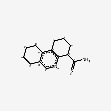 NC(=S)C1CCCc2c1ncc1c2CCCC1